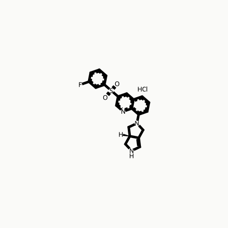 Cl.O=S(=O)(c1cccc(F)c1)c1cnc2c(N3CC4=CNC[C@@H]4C3)cccc2c1